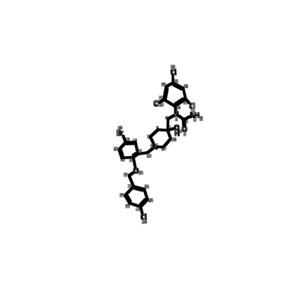 NC(=O)N(CC1(O)CCN(Cc2cc(Br)ccc2OCc2ccc(Cl)cc2)CC1)c1c(Cl)cc(Cl)cc1Cl